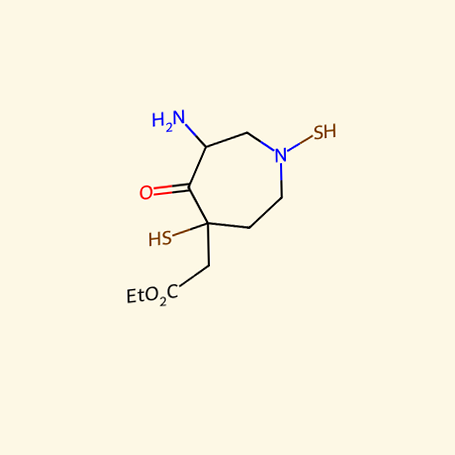 CCOC(=O)CC1(S)CCN(S)CC(N)C1=O